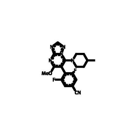 COc1nc2ncnn2c(N2CCC(C)CC2)c1-c1c(F)cc(C#N)cc1F